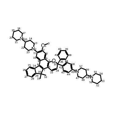 COc1cc2c3c(c4c(c2cc1N1CCC(N2CCCCC2)CC1)-c1ccccc1C4(C)C)C=CC(c1ccccc1)(c1ccc(N2CCC(N4CCCCC4)CC2)cc1)O3